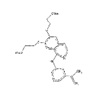 C=C(C)c1cccc(Nc2ncnc3cc(OCCOC)c(OCCOC)cc23)c1